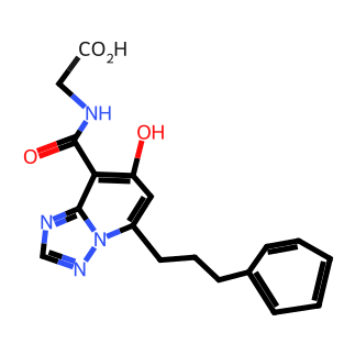 O=C(O)CNC(=O)c1c(O)cc(CCCc2ccccc2)n2ncnc12